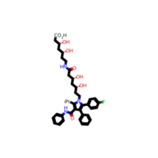 CC(C)c1c(C(=O)Nc2ccccc2)c(-c2ccccc2)c(-c2ccc(F)cc2)n1CC[C@@H](O)C[C@@H](O)CC(=O)NCC[C@@H](O)C[C@@H](O)CC(=O)O